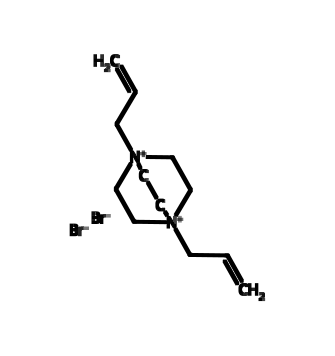 C=CC[N+]12CC[N+](CC=C)(CC1)CC2.[Br-].[Br-]